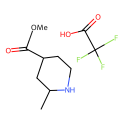 COC(=O)C1CCNC(C)C1.O=C(O)C(F)(F)F